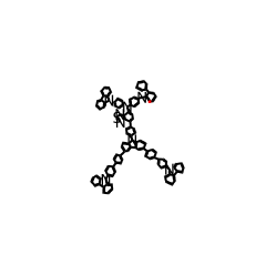 c1ccc2c(c1)c1ccccc1n2-c1ccc(-c2ccc(-c3ccc4c(c3)c3cc(-c5ccc(-c6ccc(-n7c8ccccc8c8ccccc87)cc6)cc5)ccc3n4-c3ccc(-c4ccc(N(c5ccc(-n6c7ccccc7c7ccccc76)cc5)c5ccc(-n6c7ccccc7c7ccccc76)cc5)c5nsnc45)cc3)cc2)cc1